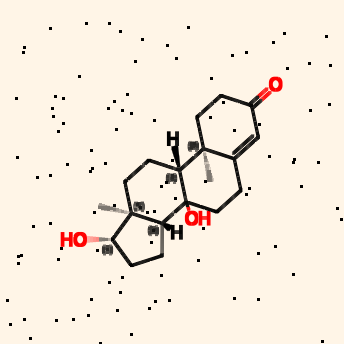 C[C@]12CC[C@H]3C(O)(CCC4=CC(=O)CC[C@@]43C)[C@@H]1CC[C@@H]2O